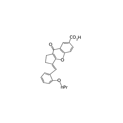 CCCOc1ccccc1C=C1CCc2c1oc1ccc(C(=O)O)cc1c2=O